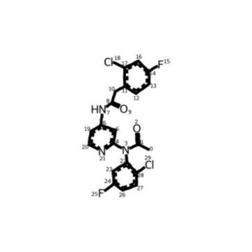 CC(=O)N(c1cc(NC(=O)Cc2ccc(F)cc2Cl)ccn1)c1cc(F)ccc1Cl